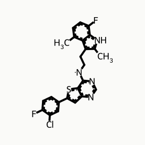 Cc1[nH]c2c(F)ccc(C)c2c1CC[N]c1ncnc2cc(-c3ccc(F)c(Cl)c3)sc12